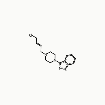 ClCC=CCN1CCN(c2nsc3ccccc23)CC1